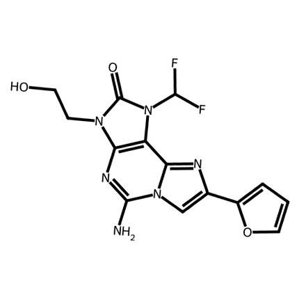 Nc1nc2c(c3nc(-c4ccco4)cn13)n(C(F)F)c(=O)n2CCO